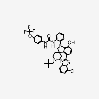 CC(C)(C)CN1CCC2(CC1)CN(c1ccccc1NC(=O)Nc1ccc(OC(F)(F)F)cc1)c1c(O)ccc(C3=NC4C=CC=C(Cl)C4S3)c12